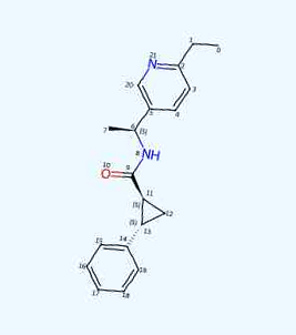 CCc1ccc([C@H](C)NC(=O)[C@H]2C[C@@H]2c2ccccc2)cn1